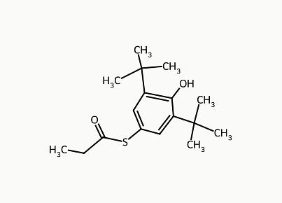 CCC(=O)Sc1cc(C(C)(C)C)c(O)c(C(C)(C)C)c1